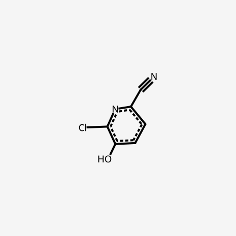 N#Cc1ccc(O)c(Cl)n1